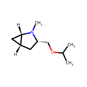 CC(C)OC[C@@H]1C[C@@H]2C[C@@H]2N1C